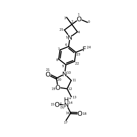 COC1(C)CN(c2ccc(N3CC(C[N@H+]([O-])C(C)=O)OC3=O)cc2F)C1